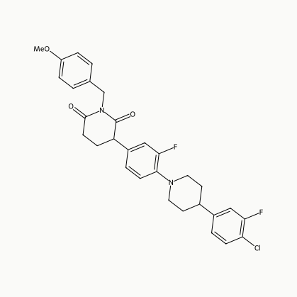 COc1ccc(CN2C(=O)CCC(c3ccc(N4CCC(c5ccc(Cl)c(F)c5)CC4)c(F)c3)C2=O)cc1